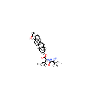 CCC(C)[C@H](NC(=O)[C@H](N)C(C)C)C(=O)O[C@@H]1CC[C@@]2(C)[C@@H](CC[C@@H]3[C@@H]2CC[C@]2(C)[C@@H](C(C)=O)CC[C@@H]32)C1